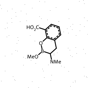 CNC1Cc2cccc(C(=O)O)c2OB1OC